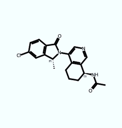 CC(=O)N[C@H]1CCCc2c1cncc2N1C(=O)c2ccc(Cl)cc2[C@H]1C